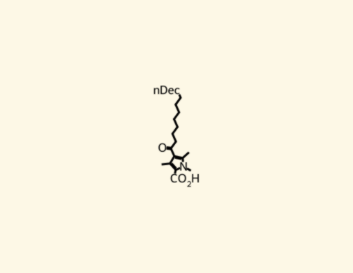 CCCCCCCCCCCCCCCCCC(=O)c1c(C)c(C(=O)O)n(C)c1C